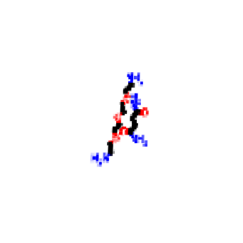 NC(=O)CCC(N)=O.NCCOCCOCCOCCN